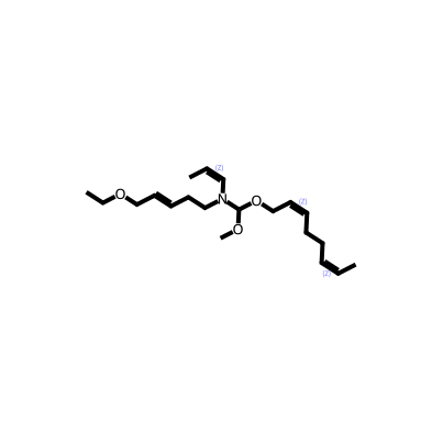 C/C=C\CC/C=C\COC(OC)N(/C=C\C)CCC=CCOCC